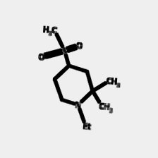 CCN1CCC(S(C)(=O)=O)CC1(C)C